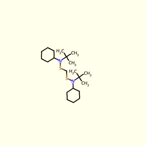 CC(C)(C)N(SCSN(C1CCCCC1)C(C)(C)C)C1CCCCC1